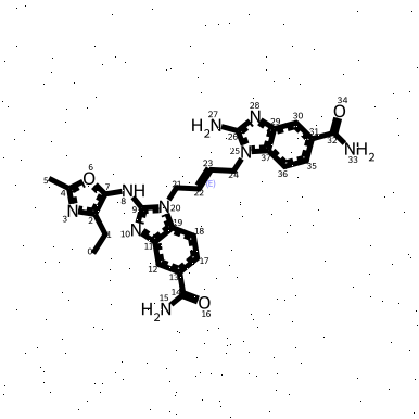 CCc1nc(C)oc1Nc1nc2cc(C(N)=O)ccc2n1C/C=C/Cn1c(N)nc2cc(C(N)=O)ccc21